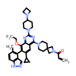 C=CC(=O)N1CC2(CCN(c3nc(N4CCC(N5CCC5)CC4)nc4c(OCC(F)(F)F)c(-c5c(C)ccc6[nH]ncc56)c(C5CC5)cc34)CC2)C1